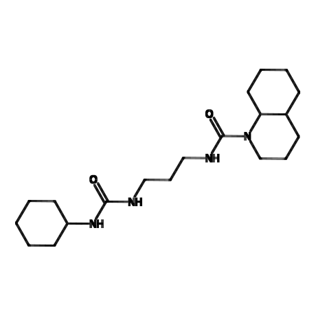 O=C(NCCCNC(=O)N1CCCC2CCCCC21)NC1CCCCC1